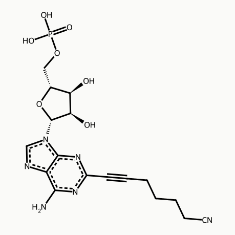 N#CCCCCC#Cc1nc(N)c2ncn([C@@H]3O[C@H](COP(=O)(O)O)[C@@H](O)[C@H]3O)c2n1